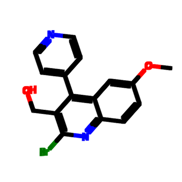 COc1ccc2nc(Br)c(CO)c(-c3ccncc3)c2c1